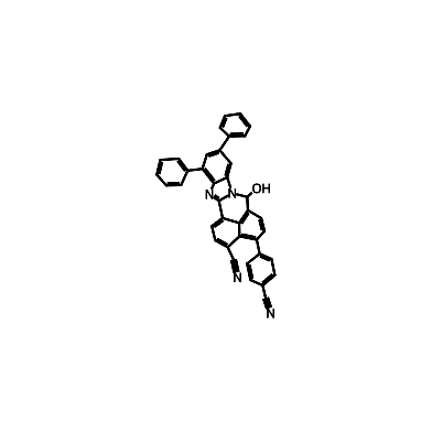 N#Cc1ccc(-c2ccc3c4c(ccc(C#N)c24)-c2nc4c(-c5ccccc5)cc(-c5ccccc5)cc4n2C3O)cc1